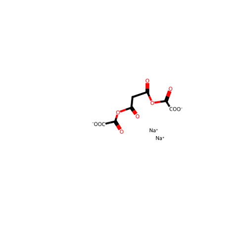 O=C(CC(=O)OC(=O)C(=O)[O-])OC(=O)C(=O)[O-].[Na+].[Na+]